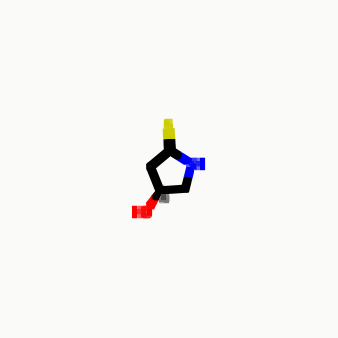 O[C@@H]1CNC(=S)C1